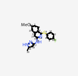 COc1ccc2c(Sc3ccc(F)cc3)nc(Nc3cc(C)[nH]n3)cc2c1